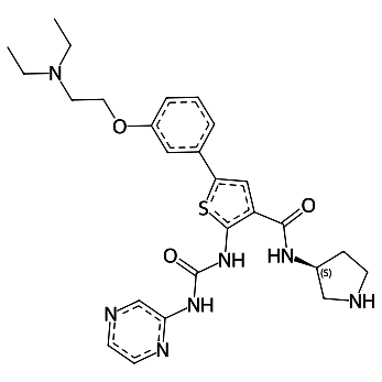 CCN(CC)CCOc1cccc(-c2cc(C(=O)N[C@H]3CCNC3)c(NC(=O)Nc3cnccn3)s2)c1